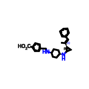 C/C(=C\c1ccccc1)[C@@H]1CC1N[C@H]1CC[C@H](NCc2ccc(C(=O)O)cc2)CC1